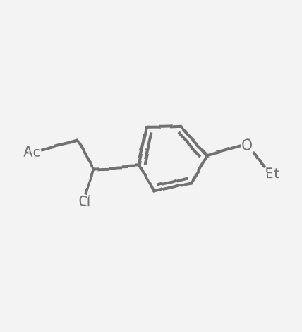 CCOc1ccc(C(Cl)CC(C)=O)cc1